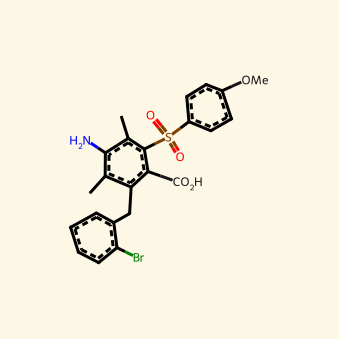 COc1ccc(S(=O)(=O)c2c(C)c(N)c(C)c(Cc3ccccc3Br)c2C(=O)O)cc1